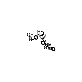 Cc1c(NC(=O)c2cc3c(s2)C2CCC3C2)cccc1-c1cn(C)c(=O)c(Nc2ccc(CN(C)CCO)cc2)n1